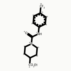 CCOC(=O)C1CCN(C(=O)Nc2ccc(C(F)(F)F)cc2)CC1